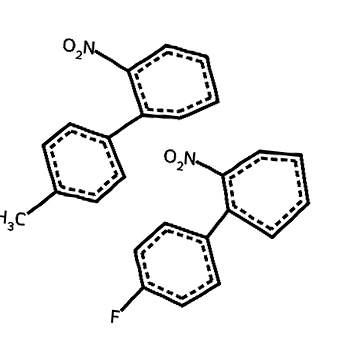 Cc1ccc(-c2ccccc2[N+](=O)[O-])cc1.O=[N+]([O-])c1ccccc1-c1ccc(F)cc1